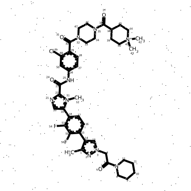 Cc1nn(CC(=O)N2CCCCC2)cc1-c1ccc(-c2cnc(C(=O)Nc3ccc(C(=O)N4CCN(C(=O)C5CC[N+](C)(C)CC5)CC4)c(Cl)c3)n2C)c(F)c1F